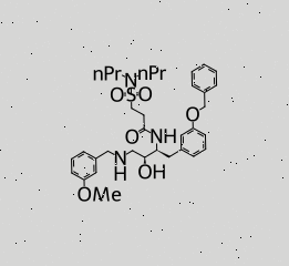 CCCN(CCC)S(=O)(=O)CCC(=O)N[C@@H](Cc1cccc(OCc2ccccc2)c1)[C@@H](O)CNCc1cccc(OC)c1